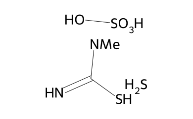 CNC(=N)S.O=S(=O)(O)O.S